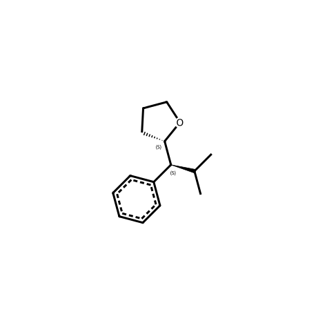 CC(C)[C@@H](c1ccccc1)[C@@H]1CCCO1